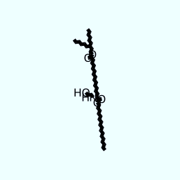 CCCCCCCCCCCCCCCCCOC(=O)C(CCCCCCCCCCCCCC(=O)OCCC(CCCCCC)CCCCCC)NCCO